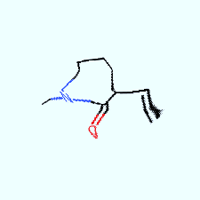 C=CC1CCN(C)C1=O